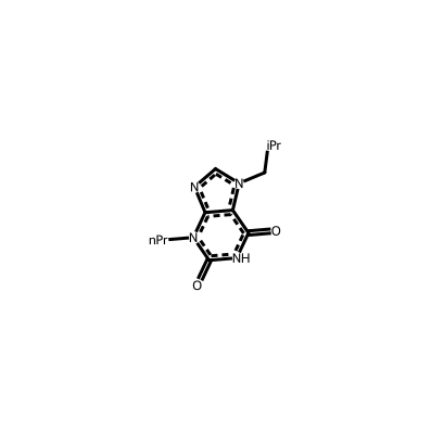 CCCn1c(=O)[nH]c(=O)c2c1ncn2CC(C)C